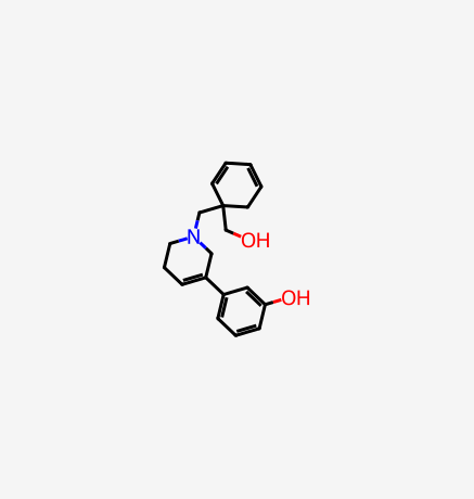 OCC1(CN2CCC=C(c3cccc(O)c3)C2)C=CC=CC1